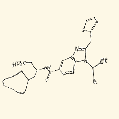 CCC(CC)n1c(Cc2cccs2)nc2cc(C(=O)NC(CC(=O)O)CC3CCCCC3)ccc21